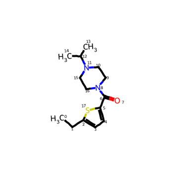 CCc1ccc(C(=O)N2CCN(C(C)C)CC2)s1